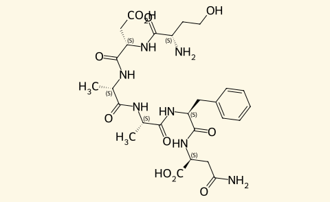 C[C@H](NC(=O)[C@H](C)NC(=O)[C@H](CC(=O)O)NC(=O)[C@@H](N)CCO)C(=O)N[C@@H](Cc1ccccc1)C(=O)N[C@@H](CC(N)=O)C(=O)O